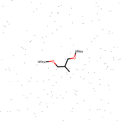 CCCCCCOCC(C)COCCCCCC